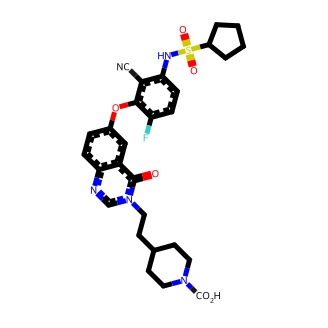 N#Cc1c(NS(=O)(=O)C2CCCC2)ccc(F)c1Oc1ccc2ncn(CCC3CCN(C(=O)O)CC3)c(=O)c2c1